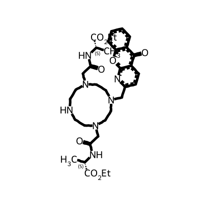 CCOC(=O)[C@H](C)NC(=O)CN1CCNCCN(CC(=O)N[C@@H](C)C(=O)OCC)CCN(Cc2ccc3c(=O)c4ccccc4oc3n2)CC1